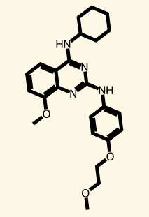 COCCOc1ccc(Nc2nc(NC3CCCCC3)c3cccc(OC)c3n2)cc1